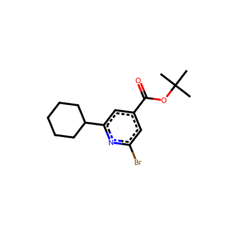 CC(C)(C)OC(=O)c1cc(Br)nc(C2CCCCC2)c1